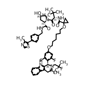 Cc1ncsc1-c1ccc(CNC(=O)[C@@H]2C[C@@H](O)CN2C(=O)[C@@H](NC(=O)C2(OCCCCCCOc3cc(F)c([C@@H]4c5[nH]c6ccccc6c5C[C@@H](C)N4CC(C)(C)F)c(F)c3)CC2)C(C)(C)C)cc1